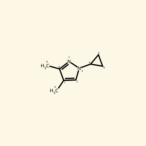 Cc1cn(C2CC2)nc1C